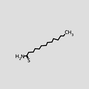 CCCCCCCCCCCCCC(N)=S